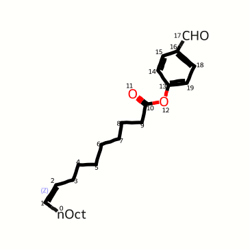 CCCCCCCC/C=C\CCCCCCCC(=O)Oc1ccc(C=O)cc1